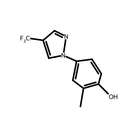 Cc1cc(-n2cc(C(F)(F)F)cn2)ccc1O